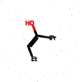 CC/C=C(/O)C(C)C